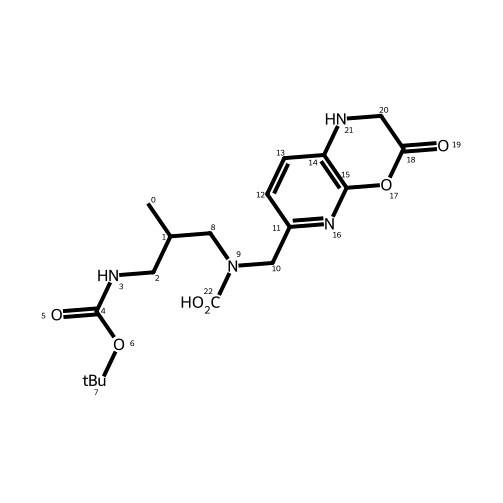 CC(CNC(=O)OC(C)(C)C)CN(Cc1ccc2c(n1)OC(=O)CN2)C(=O)O